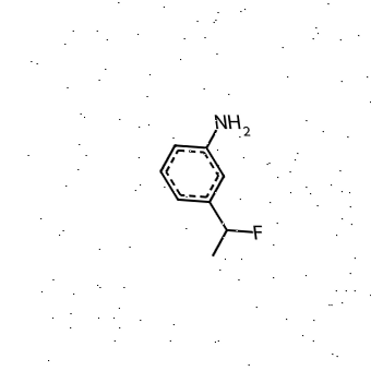 CC(F)c1cccc(N)c1